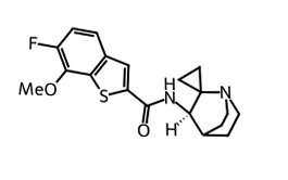 COc1c(F)ccc2cc(C(=O)N[C@@H]3C4CCN(CC4)C34CC4)sc12